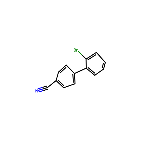 N#Cc1ccc(-c2ccccc2Br)cc1